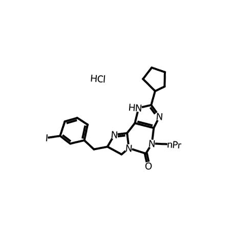 CCCN1C(=O)N2CC(Cc3cccc(I)c3)N=C2c2[nH]c(C3CCCC3)nc21.Cl